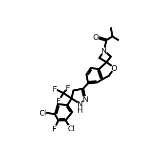 CC(C)C(=O)N1CC2(C1)OCc1cc(C3=NNC(c4cc(Cl)c(F)c(Cl)c4)(C(F)(F)F)C3)ccc12